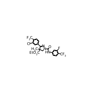 CCOC(=O)C1(C)CN(C(=O)Nc2ccc(C(F)(F)F)c(F)c2)N=C1c1ccc(C(F)(F)F)c(Cl)c1